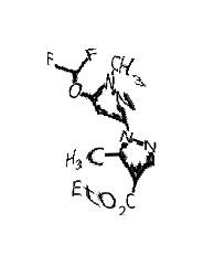 CCOC(=O)c1cnn(-c2cc(OC(F)F)n(C)n2)c1C